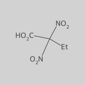 CCC(C(=O)O)([N+](=O)[O-])[N+](=O)[O-]